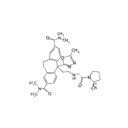 Cc1nnc(C2(CCNCC(=O)N3CCC[C@H]3C#N)c3ccc(C(=O)N(C)C)cc3CCc3cc(C(=O)N(C)C)ccc32)o1